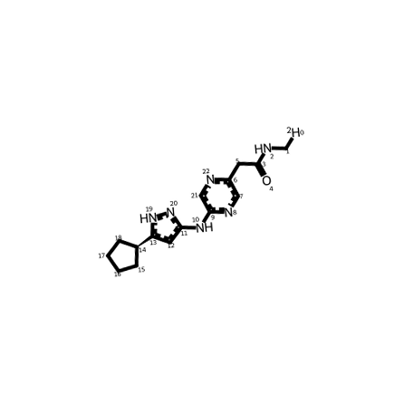 [2H]CNC(=O)Cc1cnc(Nc2cc([C@H]3C[CH]CC3)[nH]n2)cn1